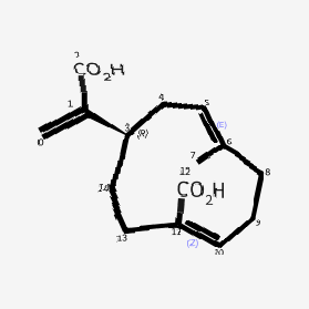 C=C(C(=O)O)[C@H]1C/C=C(\C)CC/C=C(\C(=O)O)CC1